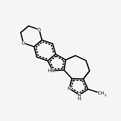 Cc1[nH]nc2c1CCCc1c-2[nH]c2cc3c(cc12)OCCO3